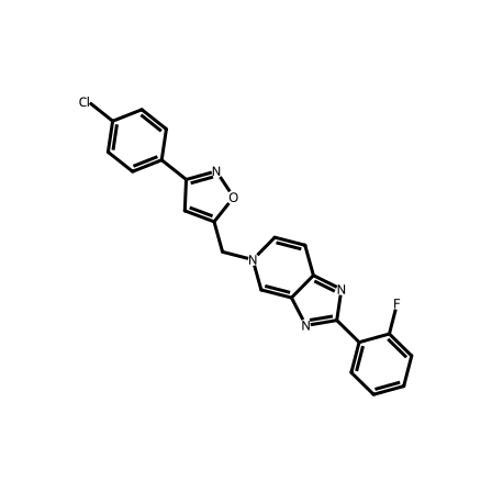 Fc1ccccc1-c1nc2ccn(Cc3cc(-c4ccc(Cl)cc4)no3)cc-2n1